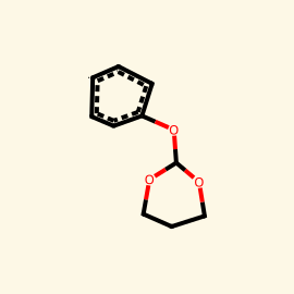 [c]1ccc(OC2OCCCO2)cc1